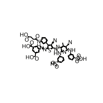 Cc1c(C#N)c(Nc2cccc(S(=O)(=O)O)c2)nc(Nc2cccc([SH](=O)=O)c2)c1N=Nc1sc(N=Nc2cc(C(=O)O)cc(C(=O)O)c2)c(-c2cccc(NC(=O)CCC(=O)O)c2)c1C#N